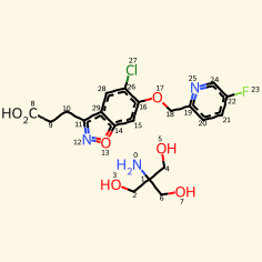 NC(CO)(CO)CO.O=C(O)CCc1noc2cc(OCc3ccc(F)cn3)c(Cl)cc12